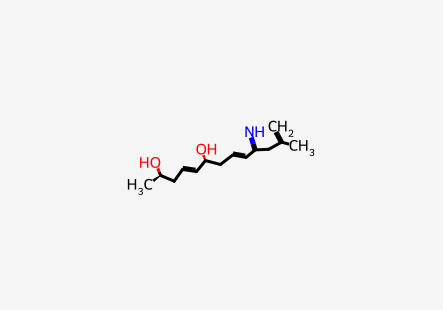 C=C(C)CC(=N)/C=C/C[C@H](O)/C=C/C[C@@H](C)O